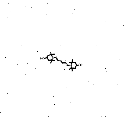 CC1(C)CC(O)CC(C)(C)N1CCCCCCN1C(C)(C)CC(O)CC1(C)C